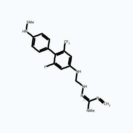 C=N/C(=N\NCNc1cc(F)c(-c2ccc(NSC)cc2)c(C(F)(F)F)c1)NC